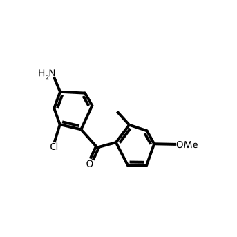 COc1ccc(C(=O)c2ccc(N)cc2Cl)c(C)c1